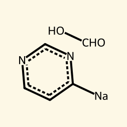 O=CO.[Na][c]1ccncn1